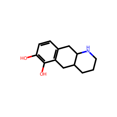 Oc1ccc2c(c1O)CC1CCCNC1C2